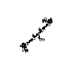 C=C(C)C(=O)Oc1cc(C)ccc1OCCCCCOC(=O)CCN(CCO)CCC(=O)OCCCCCOc1ccc(C)cc1OC(=O)C(=C)C